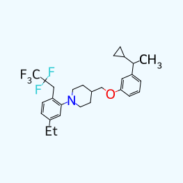 CCc1ccc(CC(F)(F)C(F)(F)F)c(N2CCC(COc3cccc(C(C)C4CC4)c3)CC2)c1